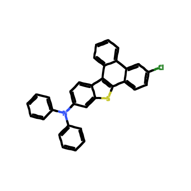 Clc1ccc2c(c1)c1ccccc1c1c3ccc(N(c4ccccc4)c4ccccc4)cc3sc21